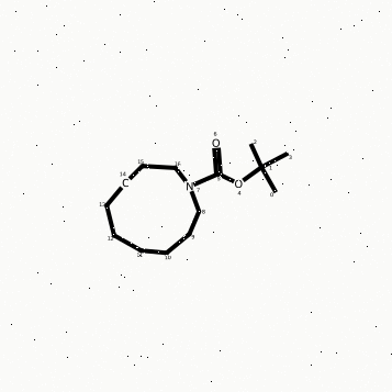 CC(C)(C)OC(=O)N1CCCCCCCCC1